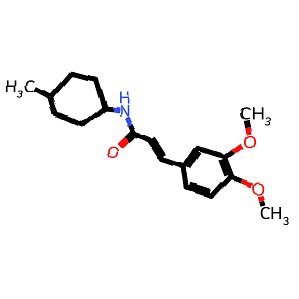 COc1ccc(C=CC(=O)NC2CCC(C)CC2)cc1OC